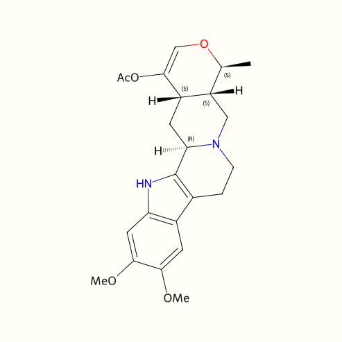 COc1cc2[nH]c3c(c2cc1OC)CCN1C[C@H]2[C@H](C)OC=C(OC(C)=O)[C@H]2C[C@H]31